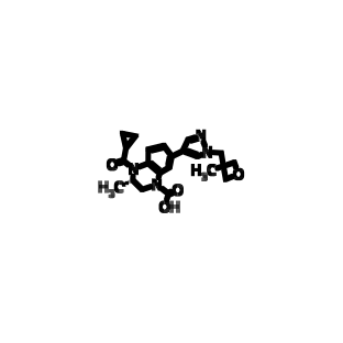 C[C@H]1CN(C(=O)O)c2cc(-c3cnn(CC4(C)COC4)c3)ccc2N1C(=O)C1CC1